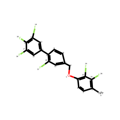 CCCc1ccc(OCc2ccc(-c3cc(F)c(F)c(F)c3)c(F)c2)c(F)c1F